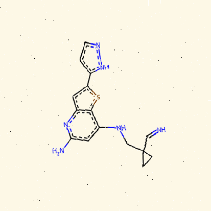 N=CC1(CNc2cc(N)nc3cc(-c4ccn[nH]4)sc23)CC1